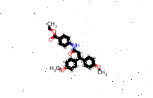 CCOC(=O)c1ccc(NC(=O)C=C(c2ccc(OC)cc2)c2ccc(OC)cc2)cc1